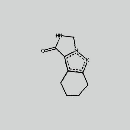 O=C1NCn2nc3c(c21)CCCC3